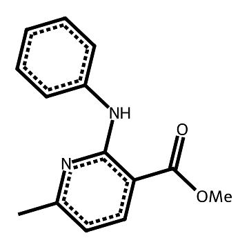 COC(=O)c1ccc(C)nc1Nc1ccccc1